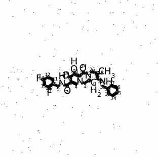 C=C1Cn2cc(C(=O)NCc3ccc(F)cc3F)c(=O)c(O)c2C(=O)N1C[C@@H](C)CNCc1ccccc1